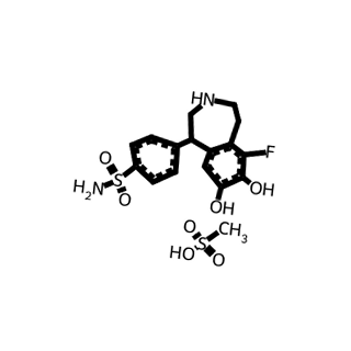 CS(=O)(=O)O.NS(=O)(=O)c1ccc(C2CNCCc3c2cc(O)c(O)c3F)cc1